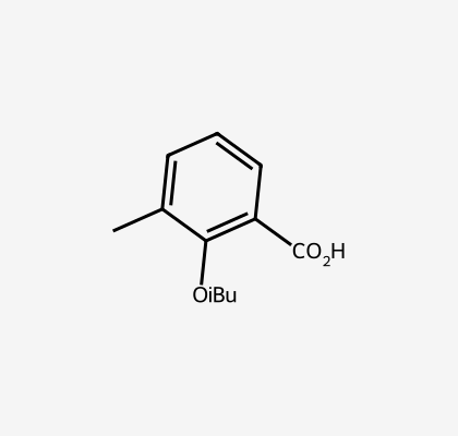 Cc1cccc(C(=O)O)c1OCC(C)C